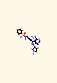 Nc1ncnc2c1c(C#CCNS(=O)(=O)c1ccccc1)nn2[C@@H]1CCNC1